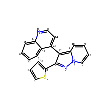 c1csc(-c2nn3ccccc3c2-c2ccnc3ccccc23)c1